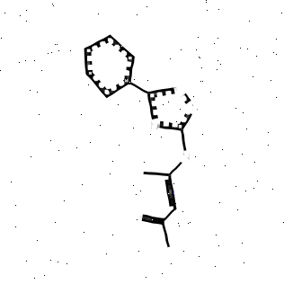 CC(=O)/C=C(\C)Nc1noc(-c2ccccc2)n1